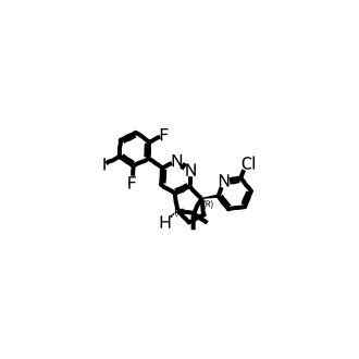 CC1(C)[C@H]2CC[C@@]1(c1cccc(Cl)n1)c1nnc(-c3c(F)ccc(I)c3F)cc12